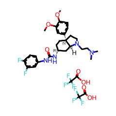 COc1ccc([C@@]23CC[C@@H](NC(=O)Nc4ccc(F)c(F)c4)C[C@@H]2N(CCN(C)C)CC3)cc1OC.O=C(O)C(F)(F)F.O=C(O)C(F)(F)F